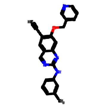 C#Cc1cc2cnc(Nc3cccc(C)c3)nc2cc1OCc1cccnc1